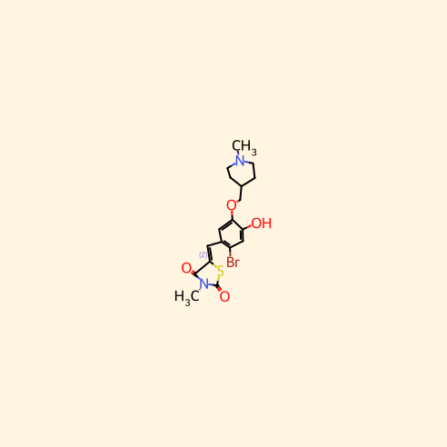 CN1CCC(COc2cc(/C=C3\SC(=O)N(C)C3=O)c(Br)cc2O)CC1